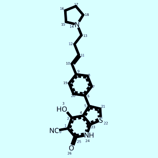 N#Cc1c(O)c2c(-c3ccc(C=CCCN4CCCC4)cc3)csc2[nH]c1=O